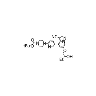 CCC(O)COc1cc(-c2ccc(N3CCN(C(=O)OC(C)(C)C)CC3)nc2)c2c(C#N)cnn2c1